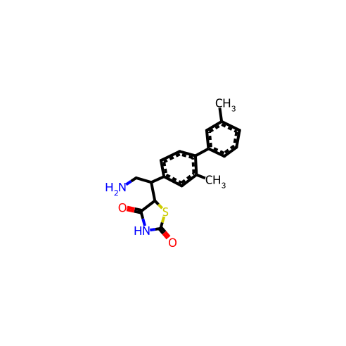 Cc1cccc(-c2ccc(C(CN)C3SC(=O)NC3=O)cc2C)c1